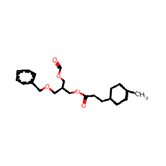 CC1CCC(CCC(=O)OCC(COC=O)COCc2ccccc2)CC1